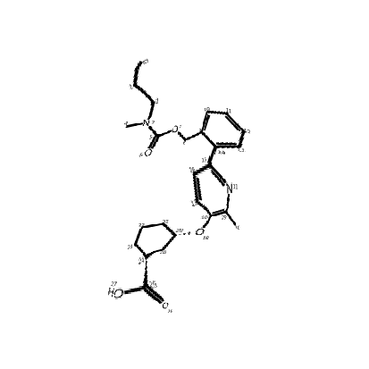 CCCN(C)C(=O)OCc1ccccc1-c1ccc(O[C@H]2CCC[C@H](C(=O)O)C2)c(C)n1